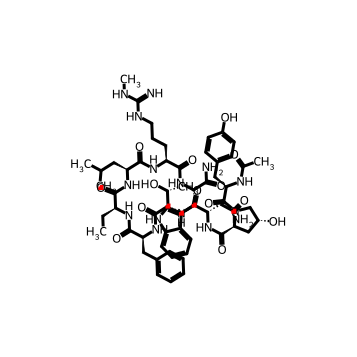 CC[C@H](NC(=O)[C@H](Cc1ccccc1)NC(=O)[C@@H](NC(=O)[C@H](CC(N)=O)NC(=O)[C@@H]1C[C@@H](O)CN1C(=O)[C@@H](Cc1ccc(O)cc1)NC(C)=O)[C@@H](C)O)C(=O)N[C@@H](CC(C)C)C(=O)N[C@@H](CCCNC(=N)NC)C(=O)N[C@@H](Cc1c[nH]c2ccccc12)C(N)=O